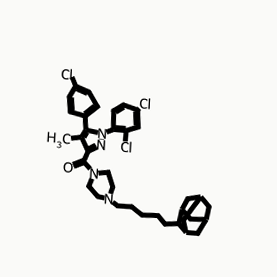 Cc1c(C(=O)N2CCN(CCCCCC3C4CC5CC(C4)CC3C5)CC2)nn(-c2ccc(Cl)cc2Cl)c1-c1ccc(Cl)cc1